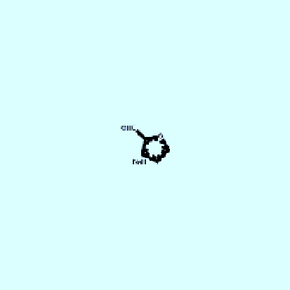 O=Cc1ccco1.[NaH]